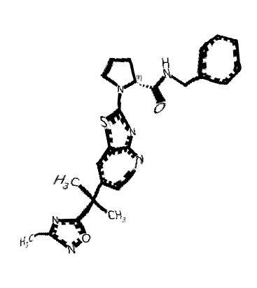 Cc1noc(C(C)(C)c2cnc3nc(N4CCC[C@@H]4C(=O)NCc4ccccc4)sc3c2)n1